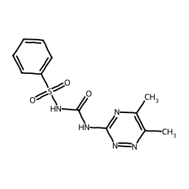 Cc1nnc(NC(=O)NS(=O)(=O)c2ccccc2)nc1C